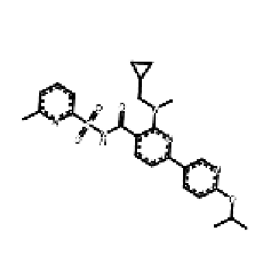 Cc1cccc(S(=O)(=O)NC(=O)c2ccc(-c3ccc(OC(C)C)nc3)nc2N(C)CC2CC2)n1